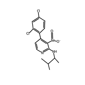 CC(C)C(C)Nc1nccc(-c2ccc(Cl)cc2Cl)c1[N+](=O)[O-]